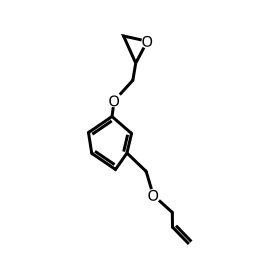 C=CCOCc1cccc(OCC2CO2)c1